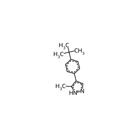 Cc1[nH]ncc1-c1ccc(C(C)(C)C)cc1